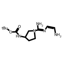 CC(C)(C)OC(=O)NC1CCN(/C(N)=N/C=C\N)C1